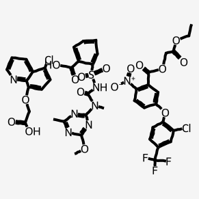 CCOC(=O)COC(=O)c1cc(Oc2ccc(C(F)(F)F)cc2Cl)ccc1[N+](=O)[O-].COc1nc(C)nc(N(C)C(=O)NS(=O)(=O)c2ccccc2C(=O)O)n1.O=C(O)COc1ccc(Cl)c2cccnc12